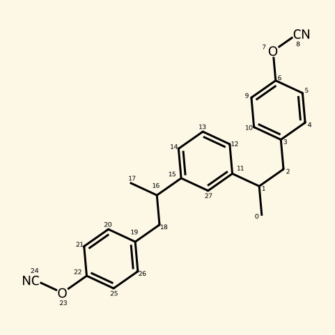 CC(Cc1ccc(OC#N)cc1)c1cccc(C(C)Cc2ccc(OC#N)cc2)c1